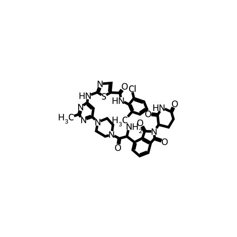 Cc1nc(Nc2ncc(C(=O)Nc3c(C)cccc3Cl)s2)cc(N2CCN(C(=O)C(N)c3cccc4c3C(=O)N(C3CCC(=O)NC3=O)C4=O)CC2)n1